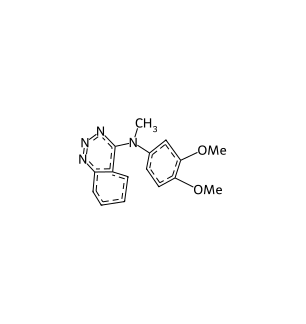 COc1ccc(N(C)c2nnnc3ccccc23)cc1OC